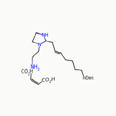 CCCCCCCCCCCCCCC=CCC1NCCN1CCN.O=C(O)/C=C\C(=O)O